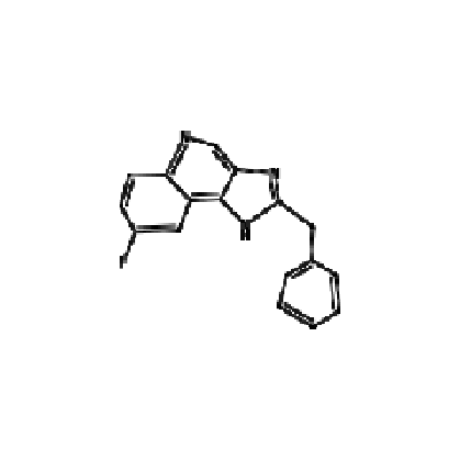 Fc1ccc2ncc3nc(Cc4ccccc4)[nH]c3c2c1